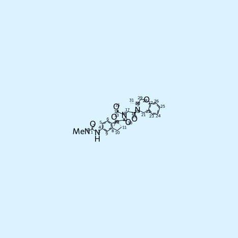 CNC(=O)Nc1ccc2c(c1)CC[C@@]21OC(=O)N(CC(=O)N2Cc3ccccc3OC[C@H]2C)C1=O